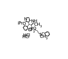 CC1=C(C(=O)OCCCN(C)Cc2ccccc2)C(c2ccccc2C(F)(F)F)c2c(ccnc2OC(C)C)N1.Cl.Cl